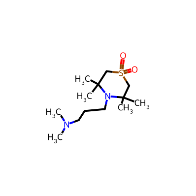 CN(C)CCCN1C(C)(C)CS(=O)(=O)CC1(C)C